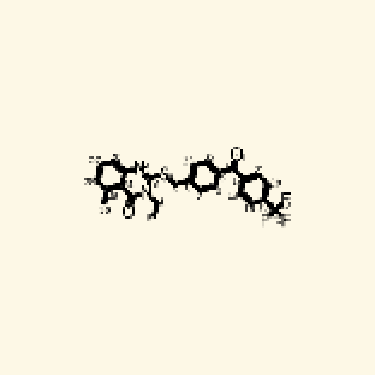 CCn1c(SCc2ccc(C(=O)c3ccc(C(F)(F)F)cc3)cc2)nc2cccc(C)c2c1=O